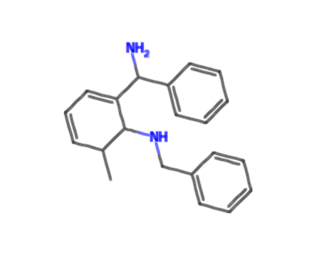 CC1C=CC=C(C(N)c2ccccc2)C1NCc1ccccc1